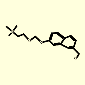 C[Si](C)(C)CCOCOc1ccc2ccc(CCl)cc2c1